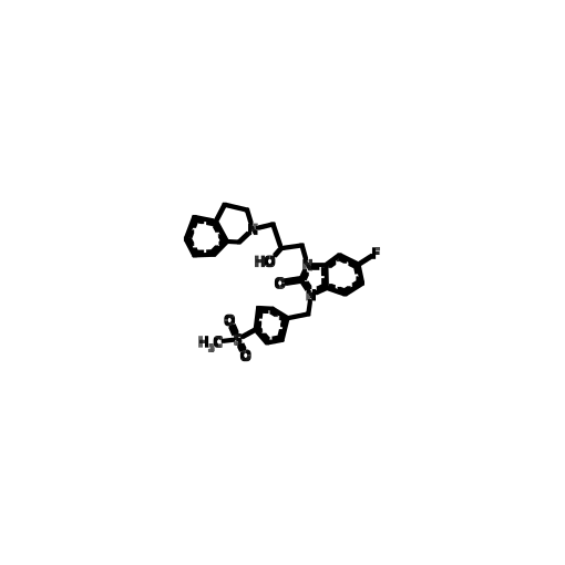 CS(=O)(=O)c1ccc(Cn2c(=O)n(CC(O)CN3CCc4ccccc4C3)c3cc(F)ccc32)cc1